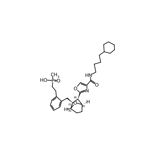 CP(=O)(O)CCc1ccccc1C[C@H]1[C@@H](c2nc(C(=O)NCCCCC3CCCCC3)co2)[C@H]2CC[C@H]1O2